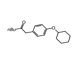 CCCCC(=O)Cc1ccc(OC2CCCCC2)cc1